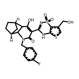 O=C1C(C2=NS(=O)(=O)c3c(CO)csc3N2)=C(O)C2C([C@@H]3CC[C@H]2C3)N1Cc1ccc(F)cc1